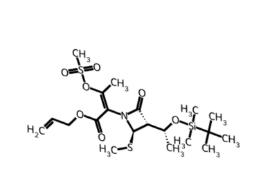 C=CCOC(=O)/C(=C(/C)OS(C)(=O)=O)N1C(=O)[C@H]([C@@H](C)O[Si](C)(C)C(C)(C)C)[C@H]1SC